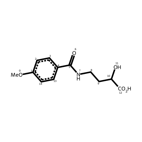 COc1ccc(C(=O)NCCC(O)C(=O)O)cc1